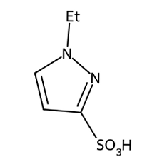 CCn1ccc(S(=O)(=O)O)n1